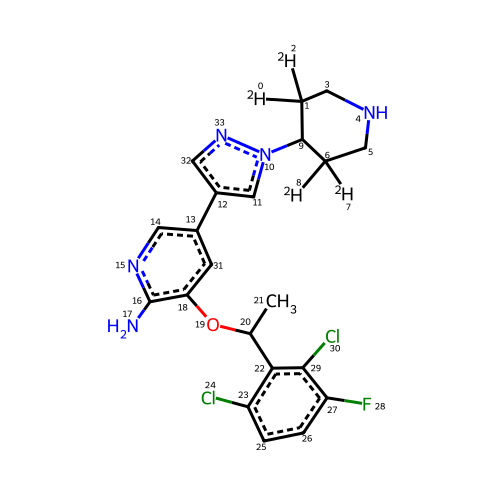 [2H]C1([2H])CNCC([2H])([2H])C1n1cc(-c2cnc(N)c(OC(C)c3c(Cl)ccc(F)c3Cl)c2)cn1